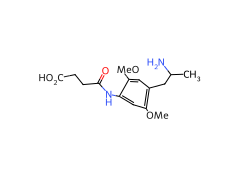 COc1cc(NC(=O)CCC(=O)O)c(OC)cc1CC(C)N